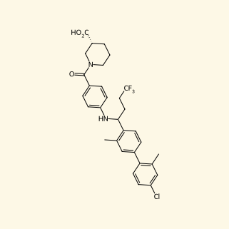 Cc1cc(Cl)ccc1-c1ccc(C(CCC(F)(F)F)Nc2ccc(C(=O)N3CCC[C@@H](C(=O)O)C3)cc2)c(C)c1